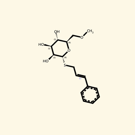 COC[C@H]1O[C@H](SC/C=C/c2ccccc2)[C@@H](O)[C@@H](O)[C@@H]1O